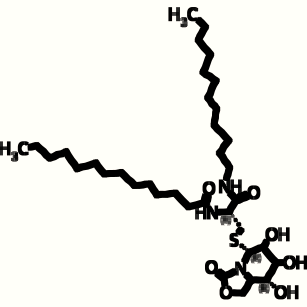 CCCCCCCCCCCCCC(=O)N[C@@H](CS[C@@H]1C(O)C(O)[C@H](O)C2COC(=O)N21)C(=O)NCCCCCCCCCCCC